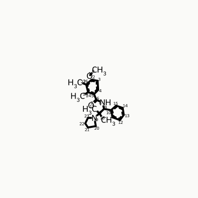 COc1ccc(C(=O)NC(c2ccccc2)C(C)(C)N2CCCC2)c(C)c1C